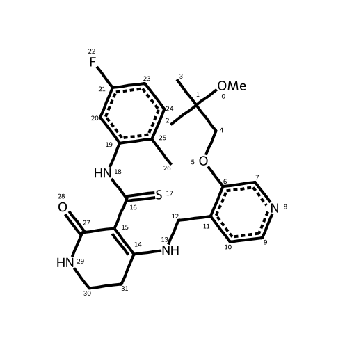 COC(C)(C)COc1cnccc1CNC1=C(C(=S)Nc2cc(F)ccc2C)C(=O)NCC1